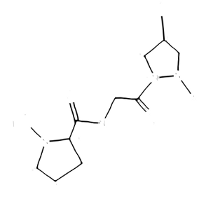 CC(=O)N1CC(O)CN1C(=O)CNC(=O)C1CCCN1C